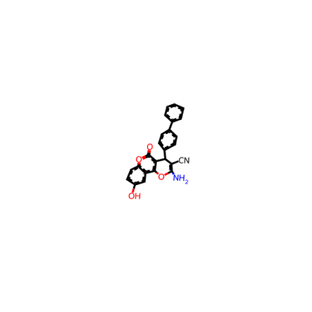 N#CC1=C(N)Oc2c(c(=O)oc3ccc(O)cc23)C1c1ccc(-c2ccccc2)cc1